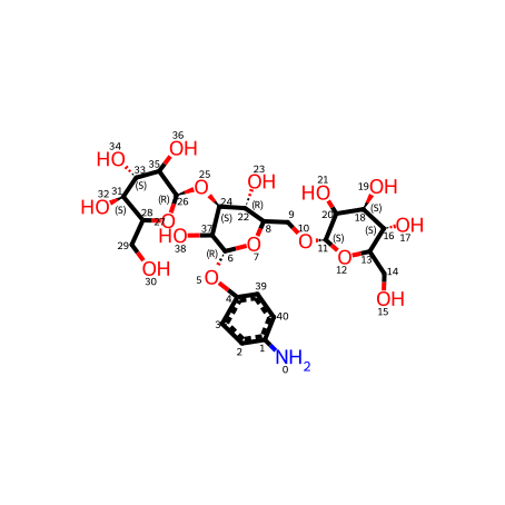 Nc1ccc(O[C@H]2OC(CO[C@H]3OC(CO)[C@@H](O)[C@H](O)C3O)[C@@H](O)[C@H](O[C@H]3OC(CO)[C@@H](O)[C@H](O)C3O)C2O)cc1